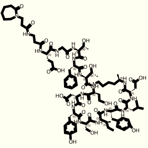 CC[C@H](C)[C@H](NC(=O)[C@H](CO)NC(=O)[C@H](Cc1ccc(O)cc1)NC(=O)[C@H](CC(=O)O)NC(=O)[C@H](CCO)NC(=O)[C@@H](NC(=O)[C@H](Cc1ccccc1)NC(=O)[C@@H](NC(=O)CNC(=O)[C@H](CCC(=O)O)NC(=O)CCNC(=O)CCN1CCCCCC1=O)[C@@H](C)O)[C@@H](C)O)C(=O)N[C@@H](Cc1ccc(O)cc1)C(=O)N[C@@H](CC(C)C)C(=O)N[C@@H](CC(=O)O)C(=O)N[C@H](C)CCCCN